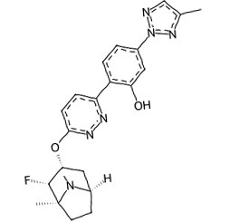 Cc1cnn(-c2ccc(-c3ccc(O[C@@H]4C[C@H]5CC[C@@](C)([C@@H]4F)N5C)nn3)c(O)c2)n1